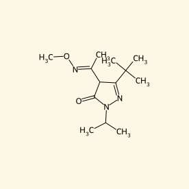 CON=C(C)C1C(=O)N(C(C)C)N=C1C(C)(C)C